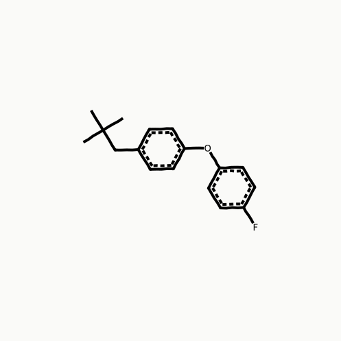 CC(C)(C)Cc1ccc(Oc2ccc(F)cc2)cc1